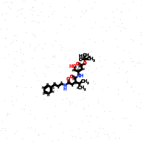 CC(C)C(CC(=O)NCCCc1ccccc1)C(=O)NC(CO)CC(=O)OC(C)(C)C